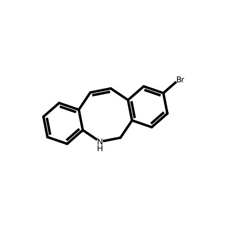 Brc1ccc2c(c1)/C=C\c1ccccc1NC2